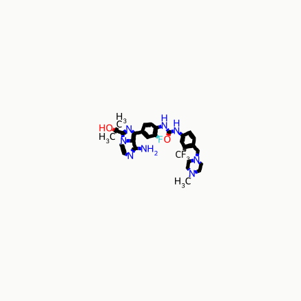 CN1CCN(Cc2ccc(NC(=O)Nc3ccc(-c4nc(C(C)(C)O)n5ccnc(N)c45)cc3F)cc2C(F)(F)F)CC1